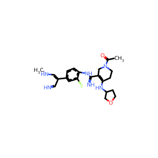 CN/C=C(\C=N)c1ccc(NC(=N)C2=C(NC3CCOC3)CCN(C(C)=O)C2)c(F)c1